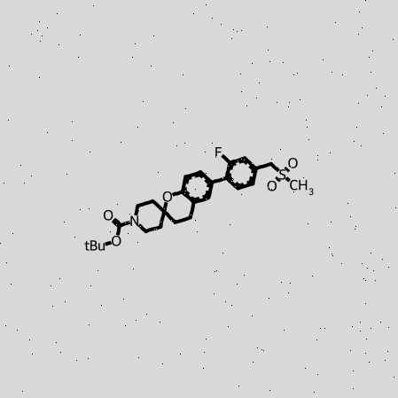 CC(C)(C)OC(=O)N1CCC2(CCc3cc(-c4ccc(CS(C)(=O)=O)cc4F)ccc3O2)CC1